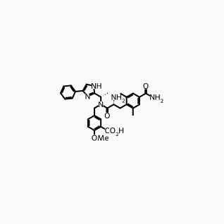 COc1ccc(CN(C(=O)[C@H](N)Cc2c(C)cc(C(N)=O)cc2C)[C@@H](C)c2nc(-c3ccccc3)c[nH]2)cc1C(=O)O